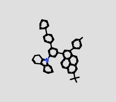 Cc1ccc(-c2cc(-c3cc(-c4ccc(-c5ccccc5)cc4)cc(-n4c5c(c6ccccc64)C=CCC5)c3)c3ccc4cc(C(C)(C)C)cc5ccc2c3c54)cc1